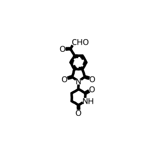 O=CC(=O)c1ccc2c(c1)C(=O)N(C1CCC(=O)NC1=O)C2=O